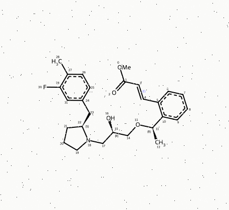 COC(=O)/C=C/c1ccccc1[C@@H](C)OC[C@H](O)CN1CCC[C@H]1Cc1ccc(C)c(F)c1